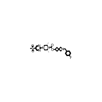 C[C@@H]1CN(c2ncc(S(C)(=O)=O)cn2)C[C@H](C)N1C(=O)OC1CC2(C1)CN(Cc1ccc(F)cc1)C2